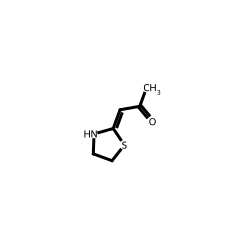 CC(=O)C=C1NCCS1